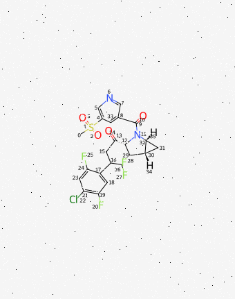 CS(=O)(=O)c1cncc(C(=O)N2[C@@H](C(=O)CC(c3cc(F)c(Cl)cc3F)C(F)F)C[C@H]3C[C@H]32)c1